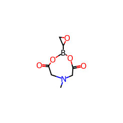 CN1CC(=O)OB(C2CO2)OC(=O)C1